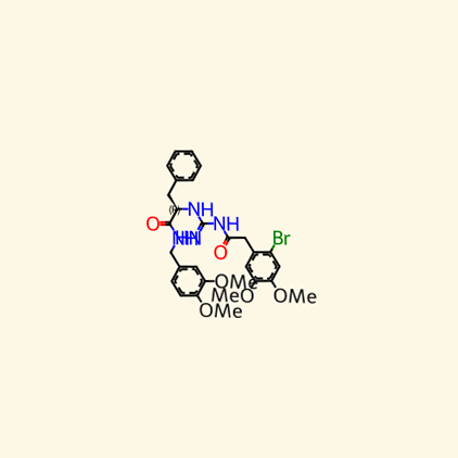 COc1ccc(CNC(=O)[C@@H](Cc2ccccc2)NC(=N)NC(=O)Cc2cc(OC)c(OC)cc2Br)cc1OC